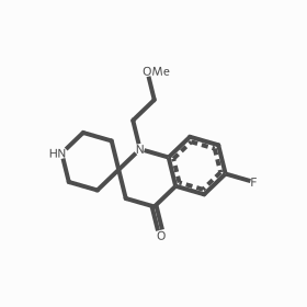 COCCN1c2ccc(F)cc2C(=O)CC12CCNCC2